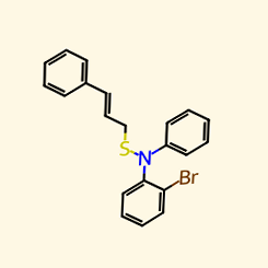 Brc1ccccc1N(SCC=Cc1ccccc1)c1ccccc1